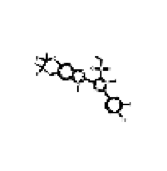 CCS(=O)(=O)c1c(-c2nc3cc4c(cc3n2C)OC(F)(F)C(F)(F)O4)nc(-c2ccc(Br)c(F)c2)n1C